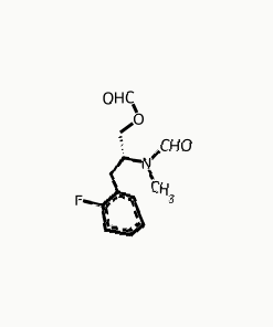 CN(C=O)[C@@H](COC=O)Cc1ccccc1F